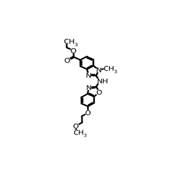 CCOC(=O)c1ccc2c(c1)nc(Nc1nc3ccc(OCCOC)cc3o1)n2C